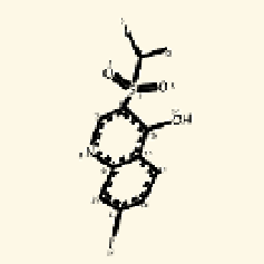 CC(I)S(=O)(=O)c1cnc2cc(F)ccc2c1O